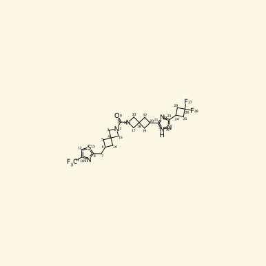 O=C(N1CC2(CC(Cc3nc(C(F)(F)F)cs3)C2)C1)N1CC2(CC(c3nc(C4CC(F)(F)C4)n[nH]3)C2)C1